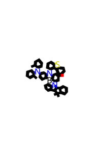 Cc1cc2c3c(c1)-n1c4c(c5cccc(c51)B3c1ccc(N(c3ccccc3C)c3ccccc3C)cc1N2c1cccc2sc3ccccc3c12)C(C)(C)c1ccccc1-4